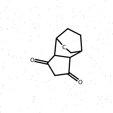 O=C1CC(=O)C2C3CCC(CC3)C12